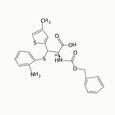 Cc1csc(C(Sc2ccccc2N)[C@H](NC(=O)OCc2ccccc2)C(=O)O)c1